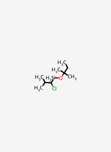 CCC(C)(C)O[SiH2]C(Cl)C(C)C